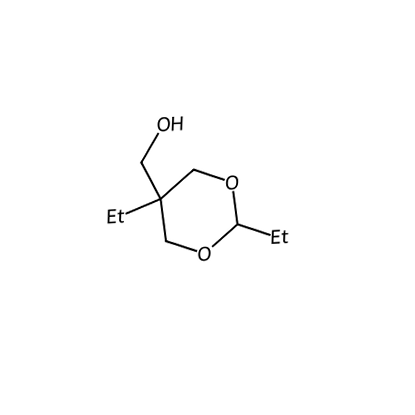 CCC1OCC(CC)(CO)CO1